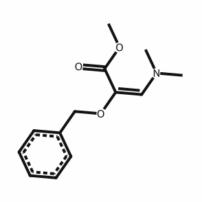 COC(=O)/C(=C\N(C)C)OCc1ccccc1